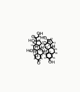 C[C@]12C=CC(=O)C=C1CC[C@@H]1[C@@H]2[C@@H](O)C[C@@]2(C)[C@H]1CC[C@]2(O)C(=O)CO.C[C@]12CC[C@@H]3c4ccc(O)cc4CC[C@H]3[C@@H]1CC[C@@H]2O